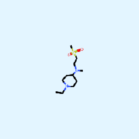 CCN1CCC(N(C)CCS(C)(=O)=O)CC1